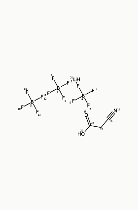 F[B-](F)(F)F.F[B-](F)(F)F.F[B-](F)(F)F.N#CCC(=O)O.[LiH]